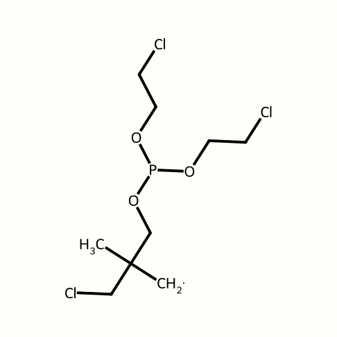 [CH2]C(C)(CCl)COP(OCCCl)OCCCl